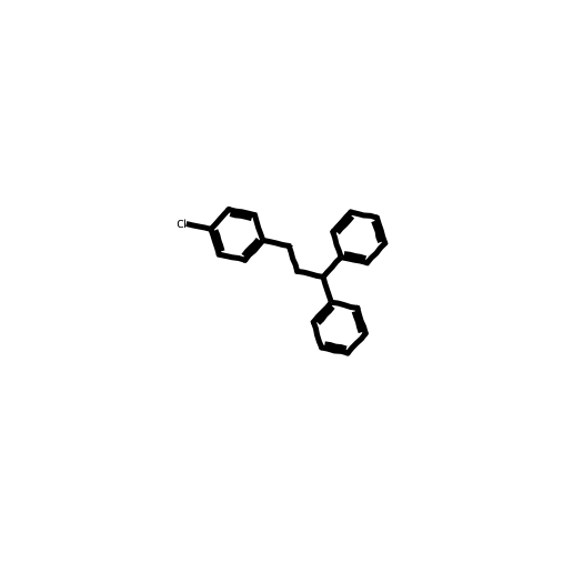 Clc1ccc([CH]CC(c2ccccc2)c2ccccc2)cc1